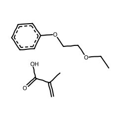 C=C(C)C(=O)O.CCOCCOc1ccccc1